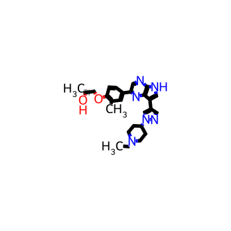 CCN1CCC(n2cc(-c3c[nH]c4ncc(-c5ccc(OC[C@@H](C)O)c(C)c5)nc34)cn2)CC1